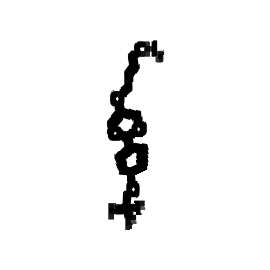 CCCCCOC1COC(C2=CCC(OCC(F)(F)F)C=C2)OC1